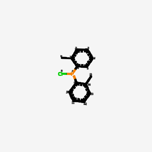 Cc1ccccc1P(Cl)c1ccccc1C